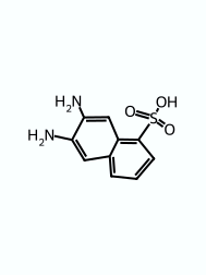 Nc1cc2cccc(S(=O)(=O)O)c2cc1N